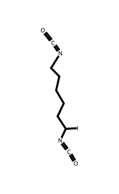 O=C=NCCCCCC(I)N=C=O